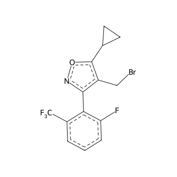 Fc1cccc(C(F)(F)F)c1-c1noc(C2CC2)c1CBr